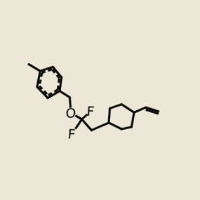 C=CC1CCC(CC(F)(F)OCc2ccc(C)cc2)CC1